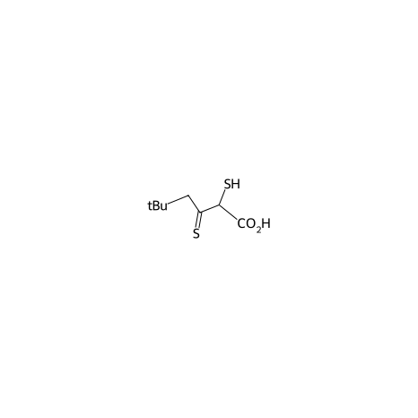 CC(C)(C)CC(=S)C(S)C(=O)O